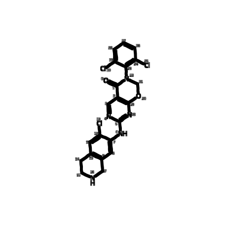 O=C1c2cnc(Nc3cc4c(cc3Cl)CCNC4)nc2OCN1c1c(Cl)cccc1Cl